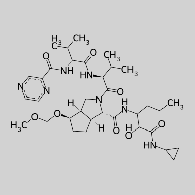 CCCC(NC(=O)[C@@H]1[C@H]2CC[C@@H](OCOC)[C@H]2CN1C(=O)[C@@H](NC(=O)[C@H](NC(=O)c1cnccn1)C(C)C)C(C)C)C(O)C(=O)NC1CC1